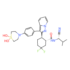 CC(C)[C@@H](C#N)NC(=O)[C@@H]1CC(F)(F)CC[C@H]1c1nn2ccccc2c1-c1ccc(N2CCS(O)(O)CC2)cc1